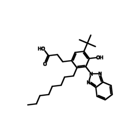 CCCCCCCCc1c(CCC(=O)O)cc(C(C)(C)C)c(O)c1-n1nc2ccccc2n1